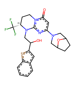 O=c1cc(N2CC3CCC(C2)O3)nc2n1CC[C@@H](C(F)(F)F)N2CC(O)c1cc2ccccc2s1